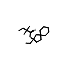 CCC1(OC(=O)C(C)(C)CC)CCC2(CCCCC2)C1